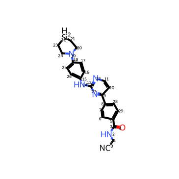 N#CCNC(=O)c1ccc(-c2ccnc(Nc3ccc(N4CC[SiH2]CC4)cc3)n2)cc1